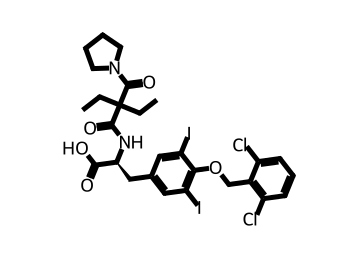 CCC(CC)(C(=O)N[C@@H](Cc1cc(I)c(OCc2c(Cl)cccc2Cl)c(I)c1)C(=O)O)C(=O)N1CCCC1